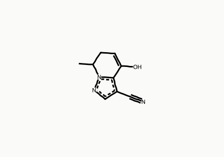 CC1CC=C(O)c2c(C#N)cnn21